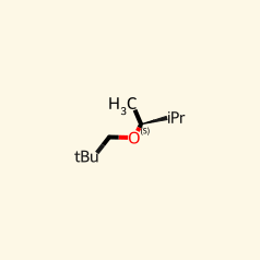 CC(C)[C@H](C)OCC(C)(C)C